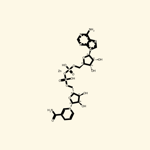 NC(=O)C1=CN([C@@H]2O[C@H](COP(=O)(O)OP(=O)(O)OC[C@H]3O[C@@H](n4cnc5c(N)ncnc54)[C@H](O)[C@@H]3O)[C@@H](O)[C@H]2O)C=CC1.[Zn]